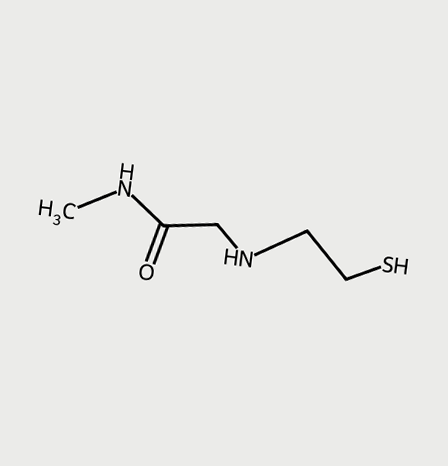 CNC(=O)CNCCS